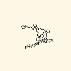 CCCCCCC=CCOC(=O)CCCN(CCCC(=O)OC(CCCCCCC)CCCCCCC)C(=O)SCCCN1CCCC1